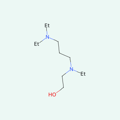 CCN(CC)CCCN(CC)CCO